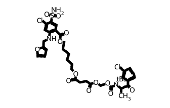 CC(C(=O)c1cccc(Cl)c1)N(C(=O)OCOC(=O)CCC(=O)OCCCCCCOC(=O)c1cc(S(N)(=O)=O)c(Cl)cc1NCc1ccco1)C(C)(C)C